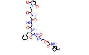 O=C(CCN1C(=O)C=CC1=O)NCC(=O)NCC(=O)N[C@@H](Cc1ccccc1)C(=O)NCC(=O)NCOCC(=O)NC1CC2(I)CC1C2